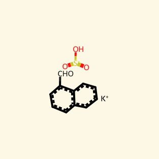 O=Cc1cccc2ccccc12.O=[S-](=O)O.[K+]